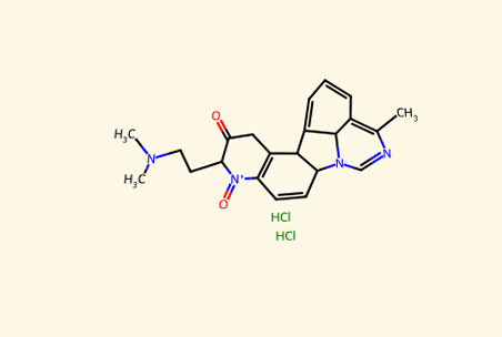 CC1=C2C=CC=C3C4C5=C(C=CC4N(C=N1)C32)[N+](=O)C(CCN(C)C)C(=O)C5.Cl.Cl